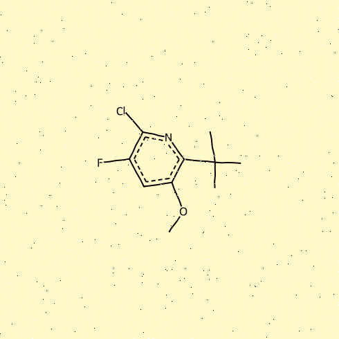 COc1cc(F)c(Cl)nc1C(C)(C)C